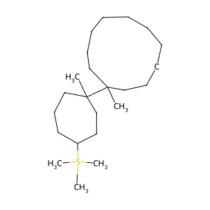 CC1(C2(C)CCCC(S(C)(C)C)CC2)CCCCCCCCCC1